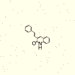 O=c1[nH]c2ccccc2cc1C=Cc1ccccc1